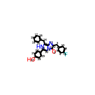 O=c1c(Cc2ccc(F)cc2)nc2c(Cc3ccccc3)[nH]c(-c3ccc(O)cc3)cn1-2